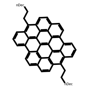 CCCCCCCCCCCCc1c2cccc3c4ccc5ccc6c(CCCCCCCCCCCC)c7cccc8c9ccc%10ccc1c1c%10c9c9c(c78)c6c5c4c9c1c23